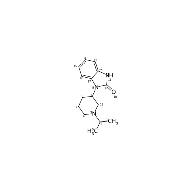 CC(C)N1CCCC(n2c(=O)[nH]c3ccccc32)C1